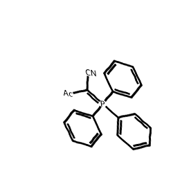 CC(=O)C(C#N)=P(c1ccccc1)(c1ccccc1)c1ccccc1